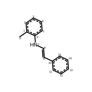 Cc1ccccc1NC=Cc1ccccc1